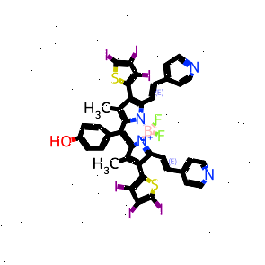 CC1=C(c2sc(I)c(I)c2I)C(/C=C/c2ccncc2)=[N+]2C1=C(c1ccc(O)cc1)c1c(C)c(-c3sc(I)c(I)c3I)c(/C=C/c3ccncc3)n1[B-]2(F)F